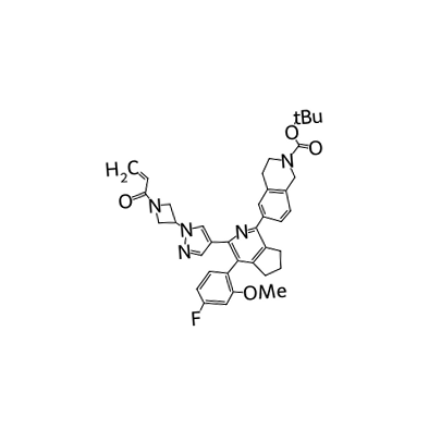 C=CC(=O)N1CC(n2cc(-c3nc(-c4ccc5c(c4)CCN(C(=O)OC(C)(C)C)C5)c4c(c3-c3ccc(F)cc3OC)CCC4)cn2)C1